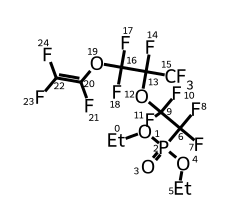 CCOP(=O)(OCC)C(F)(F)C(F)(F)OC(F)(C(F)(F)F)C(F)(F)OC(F)=C(F)F